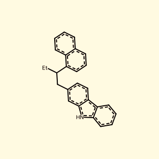 CCC(Cc1ccc2c(c1)[nH]c1ccccc12)c1cccc2ccccc12